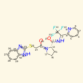 O=C(NC(c1ccccn1)C(F)(F)F)[C@@H]1CCCN1C(=O)CSc1nc2ccccc2[nH]1